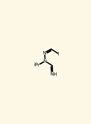 CC(C)N(C=N)/N=C\I